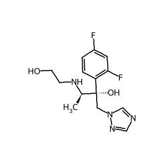 C[C@@H](NCCO)[C@](O)(Cn1cncn1)c1ccc(F)cc1F